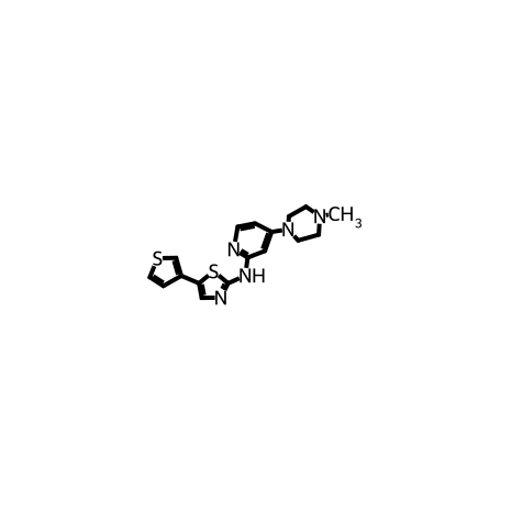 CN1CCN(c2ccnc(Nc3ncc(-c4ccsc4)s3)c2)CC1